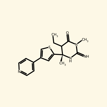 CCC1C(=O)N(C)C(=N)N[C@]1(C)c1cc(-c2ccncc2)cs1